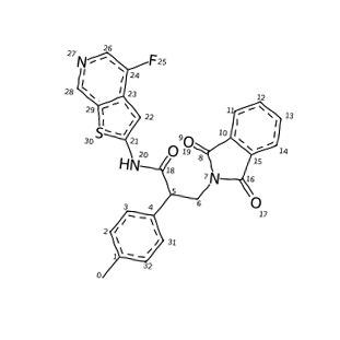 Cc1ccc(C(CN2C(=O)c3ccccc3C2=O)C(=O)Nc2cc3c(F)cncc3s2)cc1